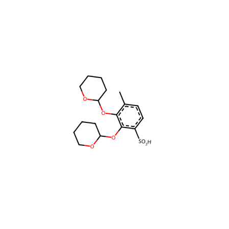 Cc1ccc(S(=O)(=O)O)c(OC2CCCCO2)c1OC1CCCCO1